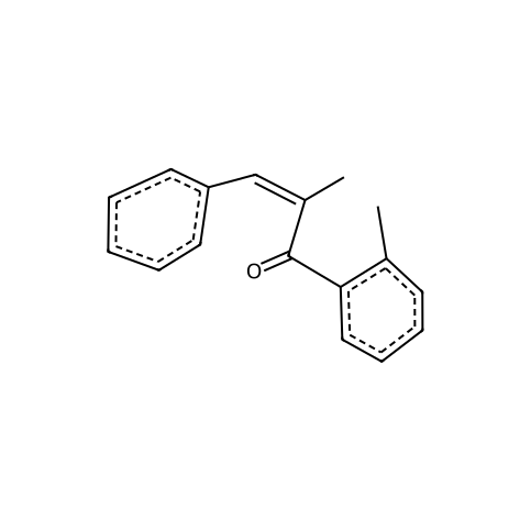 CC(=Cc1ccccc1)C(=O)c1ccccc1C